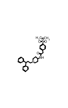 CN(C)S(=O)(=O)c1ccc(CC(=O)NC2CCN(CCC(c3ccccc3)c3ccccc3)CC2)cc1